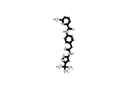 Cc1cccc(C(=O)Nc2ccc(CC(=O)Nc3cc(C(C)(C)C)on3)cc2)n1